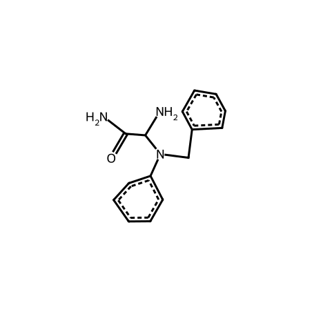 NC(=O)C(N)N(Cc1ccccc1)c1ccccc1